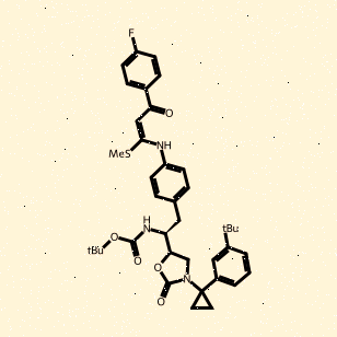 CSC(=CC(=O)c1ccc(F)cc1)Nc1ccc(C[C@H](NC(=O)OC(C)(C)C)C2CN(C3(c4cccc(C(C)(C)C)c4)CC3)C(=O)O2)cc1